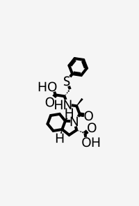 C[C@H](N[C@@H](CSc1ccccc1)C(=O)O)C(=O)N1[C@H](C(=O)O)C[C@H]2CCCC[C@@H]21